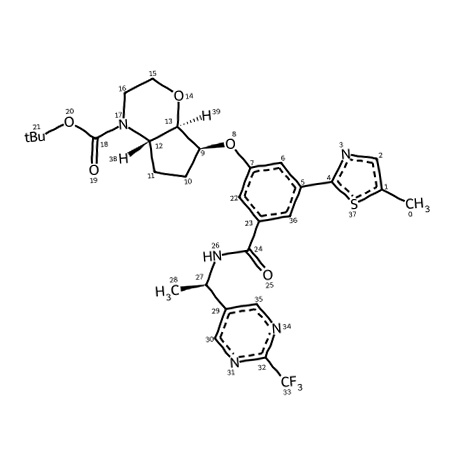 Cc1cnc(-c2cc(O[C@H]3CC[C@H]4[C@H]3OCCN4C(=O)OC(C)(C)C)cc(C(=O)N[C@H](C)c3cnc(C(F)(F)F)nc3)c2)s1